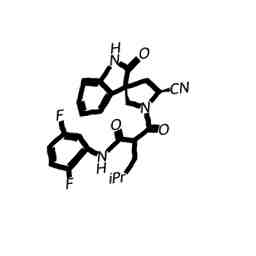 CC(C)CC(C(=O)Nc1cc(F)ccc1F)C(=O)N1C[C@]2(C[C@H]1C#N)C(=O)Nc1ccccc12